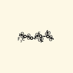 C=CC(=O)Oc1ccc(C#Cc2cc(F)c(C(=O)O/C(C)=C(\C)c3ccc(OC(=O)c4ccc(OC(=O)C(=C)C)c(C(F)(F)F)c4)cc3)cc2OC(=O)C(=C)C)c(OC(=O)C=C)c1